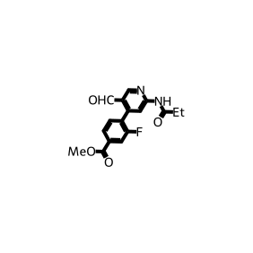 CCC(=O)Nc1cc(-c2ccc(C(=O)OC)cc2F)c(C=O)cn1